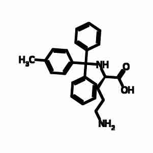 Cc1ccc(C(N[C@H](CCCN)C(=O)O)(c2ccccc2)c2ccccc2)cc1